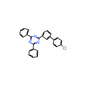 Clc1ccc(-c2cccc(-c3nc(-c4ccccc4)nc(-c4ccccc4)n3)c2)cc1